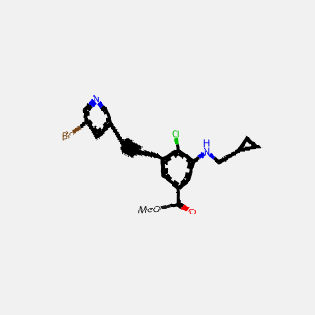 COC(=O)c1cc(C#Cc2cncc(Br)c2)c(Cl)c(NCC2CC2)c1